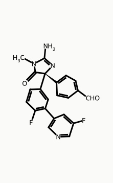 CN1C(=O)[C@@](c2ccc(C=O)cc2)(c2ccc(F)c(-c3cncc(F)c3)c2)N=C1N